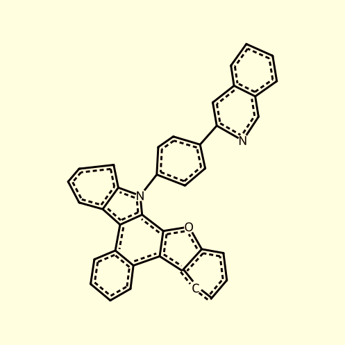 c1ccc2cc(-c3ccc(-n4c5ccccc5c5c6ccccc6c6c7ccccc7oc6c54)cc3)ncc2c1